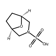 O=S(=O)(O)N1C[C@H]2CC[C@@H](C1)O2